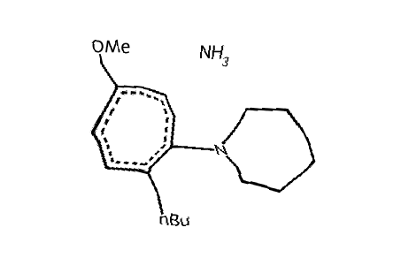 CCCCc1ccc(OC)cc1N1CCCCC1.N